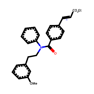 CCOC(=O)/C=C/c1ccc(C(=O)N(CCc2cccc(OC)c2)c2ccccc2)cc1